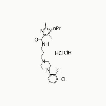 CCCn1c(C)nc(C(=O)NCCCN2CCN(c3cccc(Cl)c3Cl)CC2)c1C.Cl.Cl